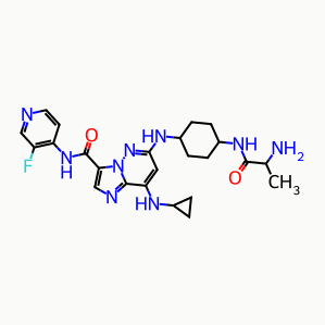 CC(N)C(=O)NC1CCC(Nc2cc(NC3CC3)c3ncc(C(=O)Nc4ccncc4F)n3n2)CC1